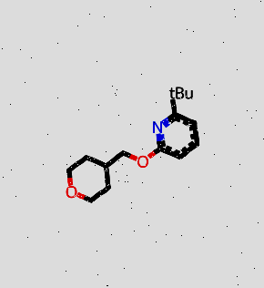 CC(C)(C)c1cccc(OCC2CCOCC2)n1